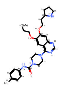 COCCOc1cc2c(N3CCN(C(=O)Nc4ccc(C#N)cc4)CC3)ncnc2cc1OCCC1CCCN1